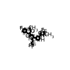 CNC(=O)c1c(-c2ccc(F)cc2)oc2nc(CCC(F)(F)F)c(-c3cccc(C(=O)NC(C)C(F)(F)F)c3)cc12